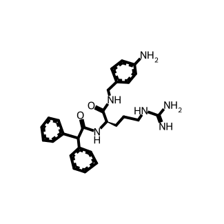 N=C(N)NCCC[C@@H](NC(=O)C(c1ccccc1)c1ccccc1)C(=O)NCc1ccc(N)cc1